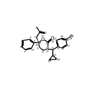 C=C(C)C[C@]1(c2ccccc2)CCN(C(c2ccc(Br)cc2)C2CC2)C(=O)O1